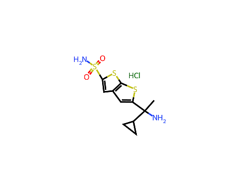 CC(N)(c1cc2cc(S(N)(=O)=O)sc2s1)C1CC1.Cl